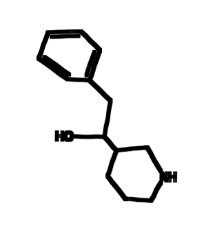 OC(Cc1ccccc1)C1CCCNC1